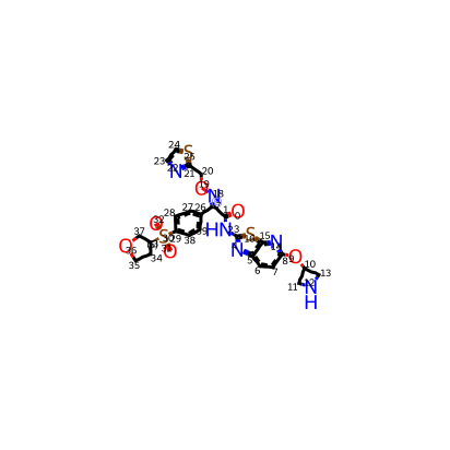 O=C(Nc1nc2ccc(OC3CNC3)nc2s1)/C(=N/OCc1nccs1)c1ccc(S(=O)(=O)[C@H]2CCOC2)cc1